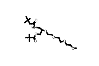 COCCOCCOCCOC(CNC(=O)CC(C)(C)C)COC(=O)C(C)(C)C